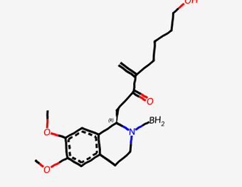 BN1CCc2cc(OC)c(OC)cc2[C@H]1CC(=O)C(=C)CCCCO